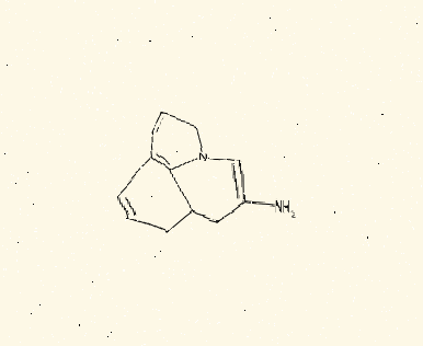 NC1=CN2CC=CC3=C2C(CC=C3)C1